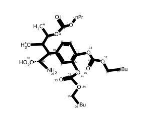 CCCOC(=O)OC(C)C(C)C(c1ccc(OC(=O)OCC(C)CC)c(OC(=O)OCC(C)CC)c1)[C@H](N)C(=O)O